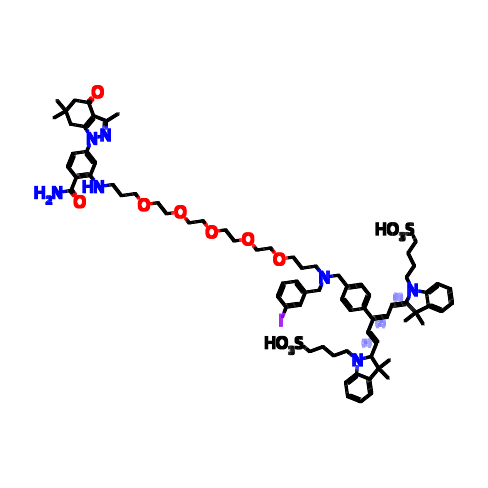 Cc1nn(-c2ccc(C(N)=O)c(NCCCOCCOCCOCCOCCOCCCN(Cc3ccc(C(=C\C=C4\N(CCCCS(=O)(=O)O)c5ccccc5C4(C)C)/C=C/C4N(CCCCS(=O)(=O)O)c5ccccc5C4(C)C)cc3)Cc3cccc(I)c3)c2)c2c1C(=O)CC(C)(C)C2